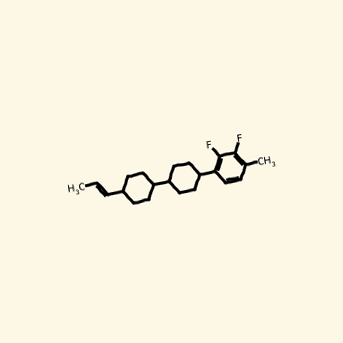 C/C=C/C1CCC(C2CCC(c3ccc(C)c(F)c3F)CC2)CC1